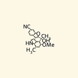 COc1cc(C)c2[nH]ccc2c1C(C)(O)c1cc2ccc(C#N)cc2o1